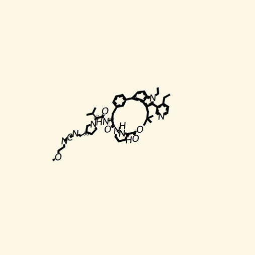 CCc1ccncc1-c1c2c3cc(ccc3n1CC)-c1cccc(c1)C[C@H](NC(=O)[C@H](C(C)C)N1CC[C@@H](CN=C=NCCOC)C1)C(=O)N1CCC[C@H](N1)C(=O)OCC(C)(C)C2